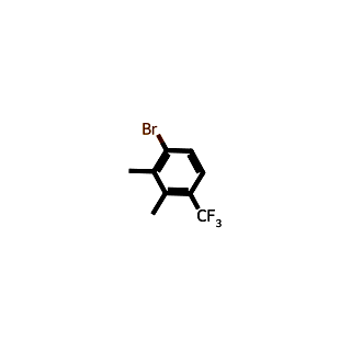 Cc1c(Br)ccc(C(F)(F)F)c1C